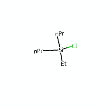 CCC[Si](Cl)(CC)CCC